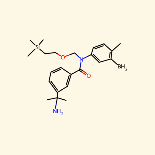 Bc1cc(N(COCC[Si](C)(C)C)C(=O)c2cccc(C(C)(C)N)c2)ccc1C